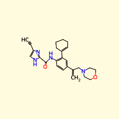 C#Cc1c[nH]c(C(=O)Nc2ccc(C(=C)CN3CCOCC3)cc2C2=CCCCC2)n1